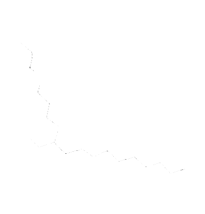 CCCCCCCCCCC(CC)CCCCCCCC